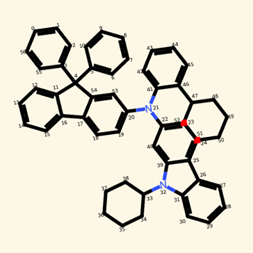 c1ccc(C2(c3ccccc3)c3ccccc3-c3ccc(N(c4ccc5c6ccccc6n(C6CCCCC6)c5c4)c4ccccc4C4CCCCC4)cc32)cc1